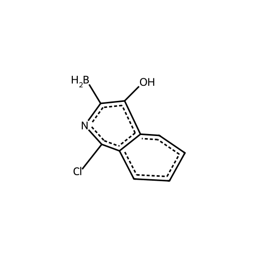 Bc1nc(Cl)c2ccccc2c1O